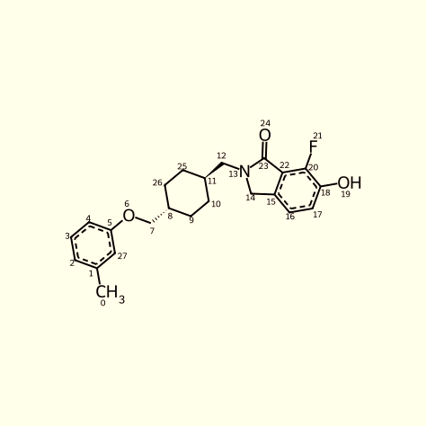 Cc1cccc(OC[C@H]2CC[C@H](CN3Cc4ccc(O)c(F)c4C3=O)CC2)c1